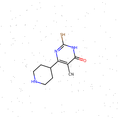 N#Cc1c(C2CCNCC2)nc(S)[nH]c1=O